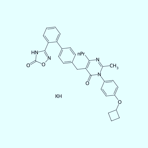 CCCc1nc(C)n(-c2ccc(OC3CCC3)cc2)c(=O)c1Cc1ccc(-c2ccccc2-c2noc(=O)[nH]2)cc1.[KH]